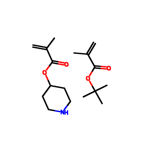 C=C(C)C(=O)OC(C)(C)C.C=C(C)C(=O)OC1CCNCC1